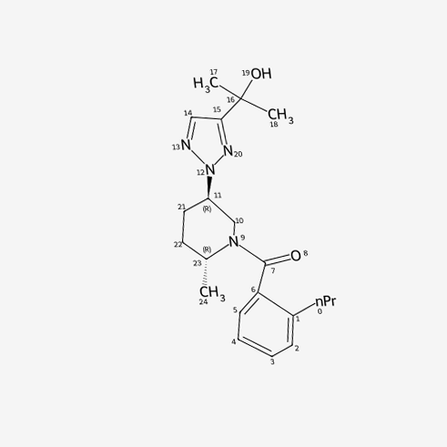 CCCc1ccccc1C(=O)N1C[C@H](n2ncc(C(C)(C)O)n2)CC[C@H]1C